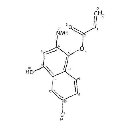 C=CC(=O)Oc1c(NC)cc(O)c2cc(Cl)ccc12